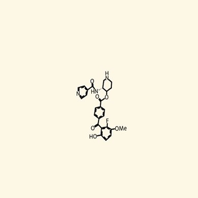 COc1ccc(O)c(C(=O)c2ccc(C(=O)OC3CCNC[C@H]3NC(=O)c3ccncc3)cc2)c1F